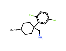 CO[C@H]1CC[C@](CN)(c2cc(F)ccc2F)CC1